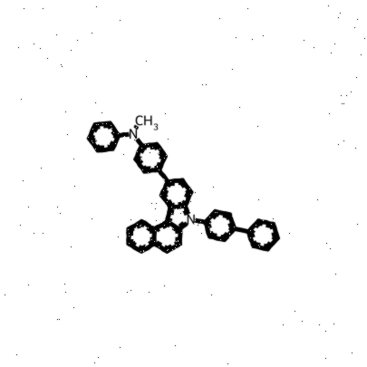 CN(c1ccccc1)c1ccc(-c2ccc3c(c2)c2c4ccccc4ccc2n3-c2ccc(-c3ccccc3)cc2)cc1